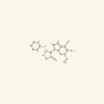 O=Cc1cc2c(N3C(=O)SC[C@@H]3Cc3ccccc3)noc2c(F)c1F